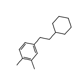 Cc1ccc(CCC2CCCCC2)cc1C